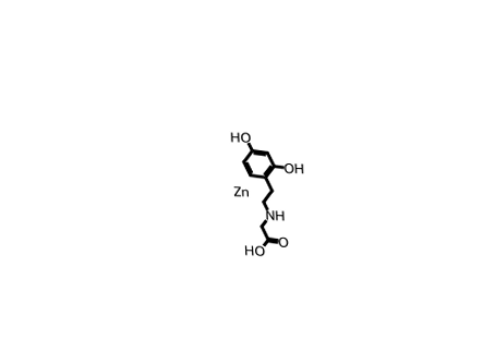 O=C(O)CNCCc1ccc(O)cc1O.[Zn]